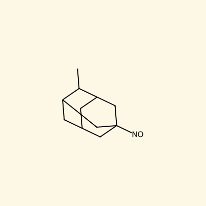 CC1C2CC3CC1CC(N=O)(C3)C2